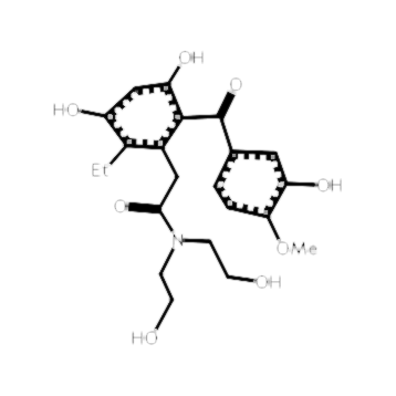 CCc1c(O)cc(O)c(C(=O)c2ccc(OC)c(O)c2)c1CC(=O)N(CCO)CCO